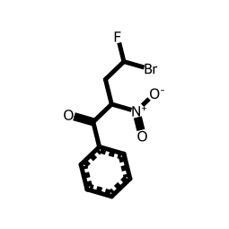 O=C(c1ccccc1)C(CC(F)Br)[N+](=O)[O-]